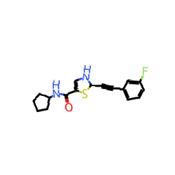 O=C(NC1CCCC1)C1=CNC(C#Cc2cccc(F)c2)S1